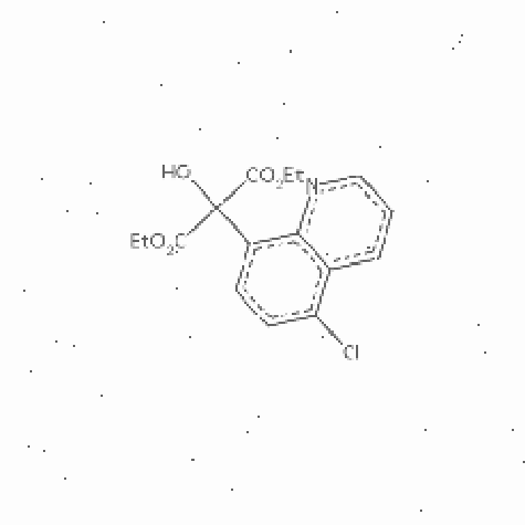 CCOC(=O)C(O)(C(=O)OCC)c1ccc(Cl)c2cccnc12